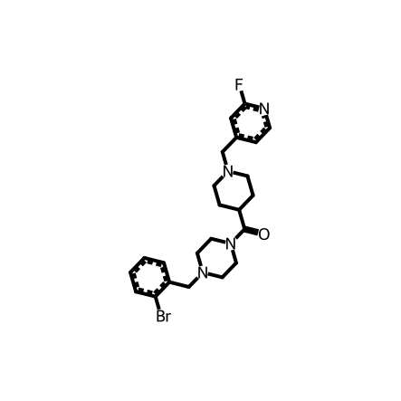 O=C(C1CCN(Cc2ccnc(F)c2)CC1)N1CCN(Cc2ccccc2Br)CC1